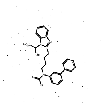 CCC(=O)N(CCCSc1nc2ccccc2n1C(C(=O)O)C(C)(C)C)c1cccc(-c2ccccc2)c1